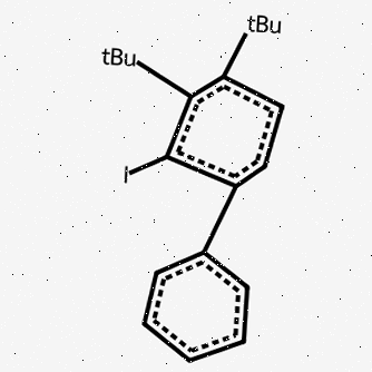 CC(C)(C)c1ccc(-c2ccccc2)c(I)c1C(C)(C)C